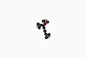 c1ccc2c(c1)Oc1ccccc1-c1cc(-c3ccc(-c4ccc(N(c5ccc6c(c5)-c5ccccc5Oc5ccccc5-6)c5ccc6c(c5)-c5ccccc5Oc5ccccc5-6)cc4)cc3)ccc1-2